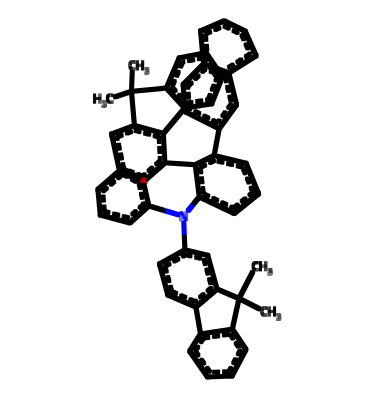 CC1(C)c2ccccc2-c2ccc(N(c3ccccc3)c3cccc(-c4ccc5ccccc5c4)c3-c3cccc4c3-c3ccccc3C4(C)C)cc21